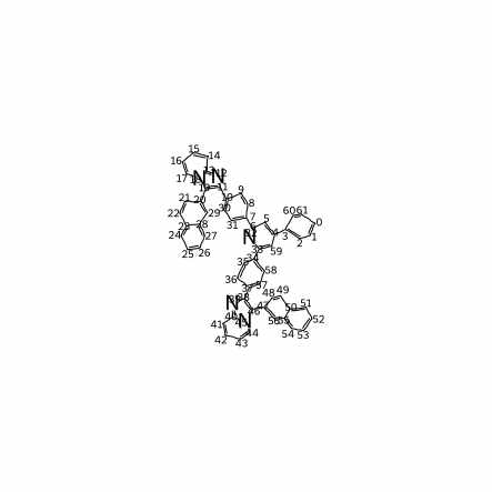 c1ccc(-c2cc(-c3ccc(-c4nc5ccccn5c4-c4ccc5ccccc5c4)cc3)nc(-c3ccc(-c4nc5ccccn5c4-c4ccc5ccccc5c4)cc3)c2)cc1